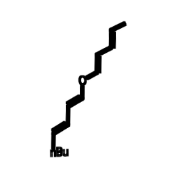 CC=CC=COC=CC=CCCCC